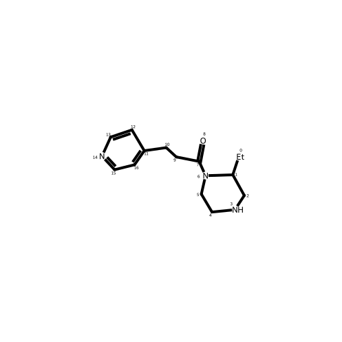 CCC1CNCCN1C(=O)CCc1ccncc1